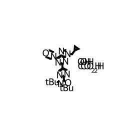 CC(C)(C)N(C(=O)c1ncc(-c2nc(N3CCOCC3)c3ncn(CC4CC4)c3n2)cn1)C(C)(C)C.O=C(O)O.O=C(O)O